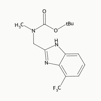 CN(Cc1nc2c(C(F)(F)F)cccc2[nH]1)C(=O)OC(C)(C)C